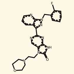 O=c1[nH]c2nc(-c3nn(Cc4ccccc4F)c4ncccc34)ncc2n1CCN1CCOCC1